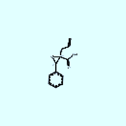 C=CC[C@]1(C(=O)O)O[C@@H]1c1ccccc1